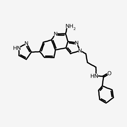 Nc1nc2cc(-c3cc[nH]n3)ccc2c2cn(CCCNC(=O)c3ccccc3)nc12